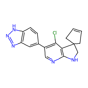 Clc1c(-c2ccc3[nH]nnc3c2)cnc2c1C1(CC=CC1)CN2